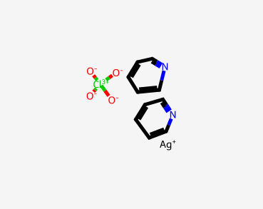 [Ag+].[O-][Cl+3]([O-])([O-])[O-].c1ccncc1.c1ccncc1